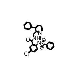 O=C(NCc1ncccc1-c1ccccc1)c1cc(Cl)ccc1NS(=O)(=O)c1ccccc1